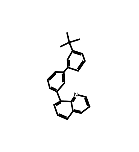 CC(C)(C)c1cccc(-c2cccc(-c3cccc4cccnc34)c2)c1